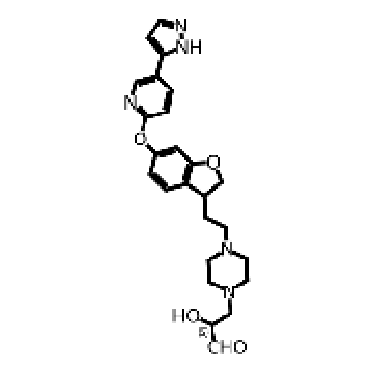 O=C[C@@H](O)CN1CCN(CCC2COc3cc(Oc4ccc(-c5ccn[nH]5)cn4)ccc32)CC1